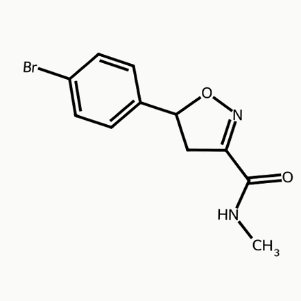 CNC(=O)C1=NOC(c2ccc(Br)cc2)C1